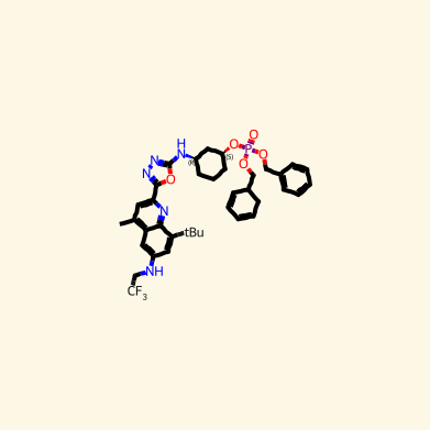 Cc1cc(-c2nnc(N[C@@H]3CCC[C@H](OP(=O)(OCc4ccccc4)OCC4C=CC=CC4)C3)o2)nc2c(C(C)(C)C)cc(NCC(F)(F)F)cc12